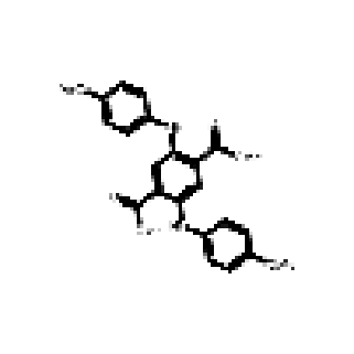 COC(=O)c1cc(Nc2ccc(OC)cc2)c(C(=O)OC)cc1Nc1ccc(OC)cc1